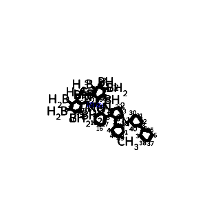 Bc1c(B)c(B)c(/C(N=C)=N/C(=N\c2ccccc2-c2c(NC)ccc3c2c2c(n3-c3cccc(-c4ccccc4)c3)CC(C)C=C2)c2c(B)c(B)c(B)c(B)c2B)c(B)c1B